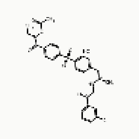 CCN(OC(C)=O)C(=O)c1ccc(S(=O)(=O)c2ccc(C[C@@H](C)NC[C@H](O)c3cccc(Cl)c3)cc2)cc1.Cl